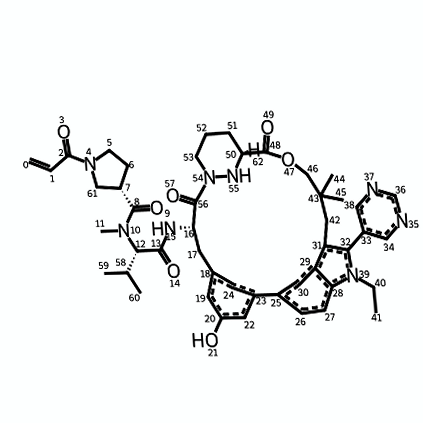 C=CC(=O)N1CC[C@H](C(=O)N(C)[C@H](C(=O)N[C@H]2Cc3cc(O)cc(c3)-c3ccc4c(c3)c(c(-c3cncnc3)n4CC)CC(C)(C)COC(=O)[C@@H]3CCCN(N3)C2=O)C(C)C)C1